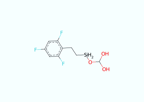 OC(O)O[SiH2]CCc1c(F)cc(F)cc1F